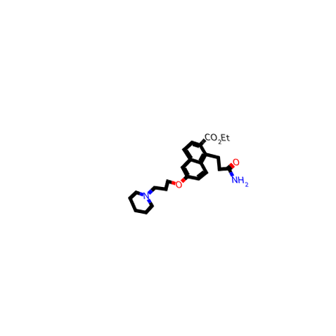 CCOC(=O)c1ccc2cc(OCCCN3CCCCC3)ccc2c1CCC(N)=O